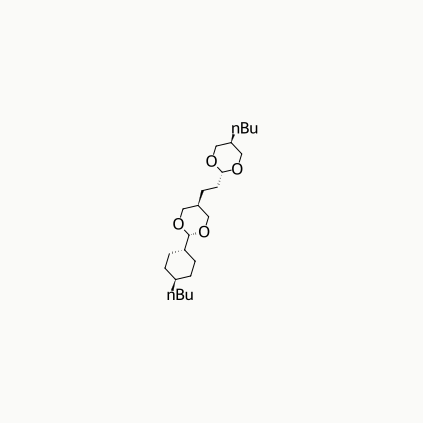 CCCC[C@H]1CC[C@H]([C@H]2OC[C@H](CC[C@H]3OC[C@H](CCCC)CO3)CO2)CC1